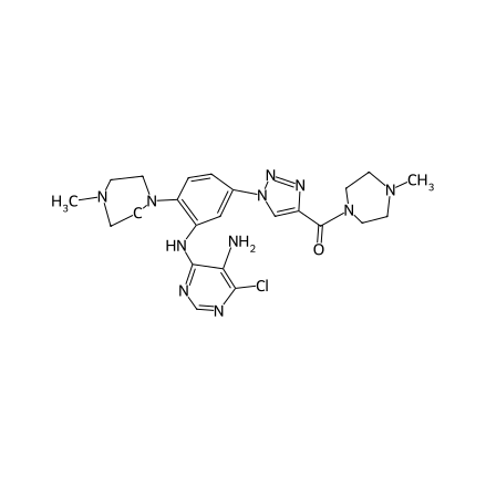 CN1CCN(C(=O)c2cn(-c3ccc(N4CCN(C)CC4)c(Nc4ncnc(Cl)c4N)c3)nn2)CC1